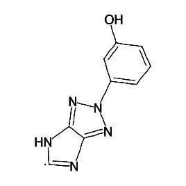 Oc1cccc(-n2nc3n[c][nH]c3n2)c1